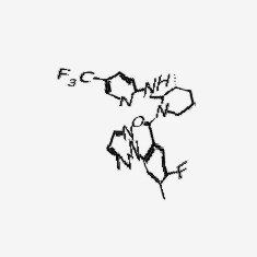 Cc1cc(-n2nccn2)c(C(=O)N2CCC[C@@H](C)C2CNc2ccc(C(F)(F)F)cn2)cc1F